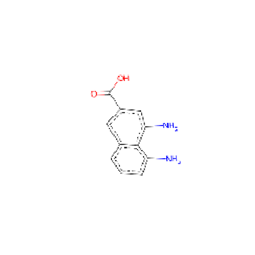 Nc1cccc2cc(C(=O)O)cc(N)c12